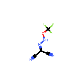 N#CC(C#N)=NNOC(F)(F)F